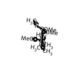 COc1ccc(CCN(C(=O)Oc2c(C)cc(C)cc2C)c2ccnc(Nc3cc(OC)c(OC)c(OCCCN4CCN(C)CC4)c3)n2)cc1